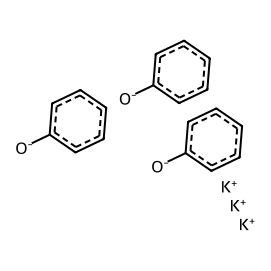 [K+].[K+].[K+].[O-]c1ccccc1.[O-]c1ccccc1.[O-]c1ccccc1